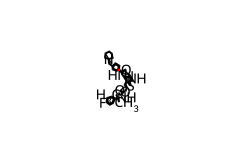 CC(C)(NC(=O)Oc1cc2c(NC(=O)c3ccc(CN4CCCCC4)cc3)n[nH]c2s1)c1ccc(F)cc1